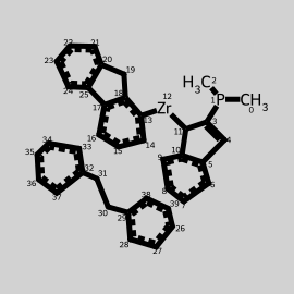 CP(C)C1=Cc2ccccc2[CH]1[Zr][c]1cccc2c1Cc1ccccc1-2.c1ccc(CCc2ccccc2)cc1